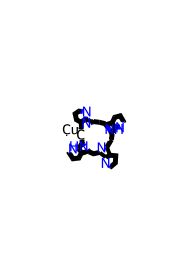 [Cu].c1cnc2c(c1)-c1cc3[nH]c(cc4nc(cc5[nH]c(cc-2n1)c1cccnc51)-c1cccnc1-4)c1cccnc31